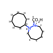 O=C(O)N1CCCCCCN1C1CCCCCCC1